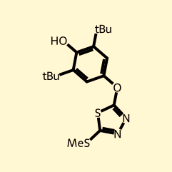 CSc1nnc(Oc2cc(C(C)(C)C)c(O)c(C(C)(C)C)c2)s1